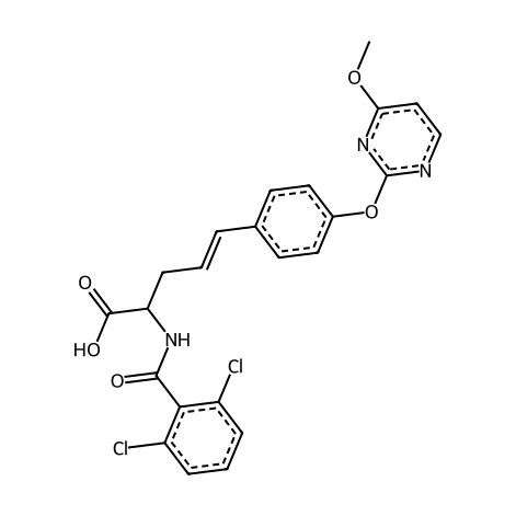 COc1ccnc(Oc2ccc(/C=C/CC(NC(=O)c3c(Cl)cccc3Cl)C(=O)O)cc2)n1